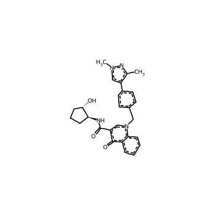 Cc1nn(C)cc1-c1ccc(Cn2cc(C(=O)N[C@H]3CCC[C@@H]3O)c(=O)c3ccccc32)cc1